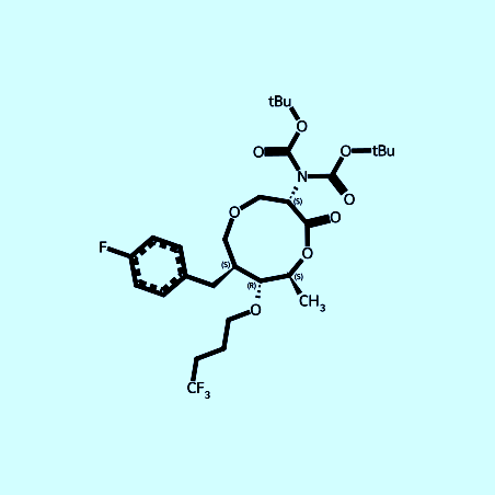 C[C@@H]1OC(=O)[C@@H](N(C(=O)OC(C)(C)C)C(=O)OC(C)(C)C)COC[C@H](Cc2ccc(F)cc2)[C@H]1OCCCC(F)(F)F